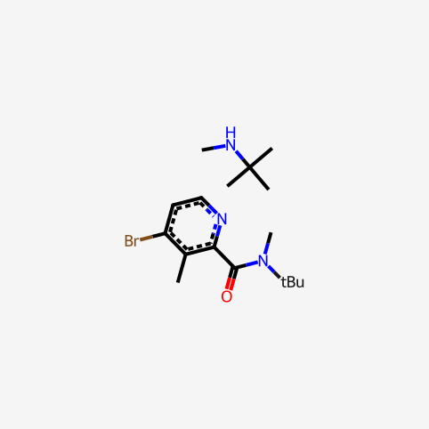 CNC(C)(C)C.Cc1c(Br)ccnc1C(=O)N(C)C(C)(C)C